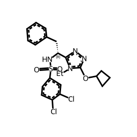 CCn1c(OC2CCC2)nnc1[C@@H](Cc1ccccc1)NS(=O)(=O)c1ccc(Cl)c(Cl)c1